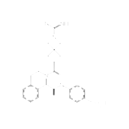 N=C(N)N1CC2(CC(C(=O)N3CCc4ccccc4C3C(=O)Nc3ccc(C(=O)O)cc3)C2)C1